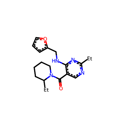 CCc1ncc(C(=O)N2CCCCC2CC)c(NCc2ccco2)n1